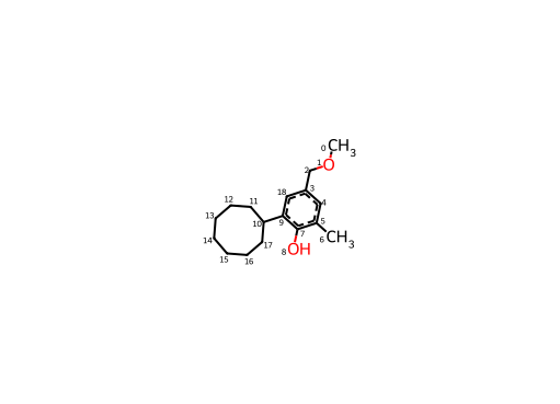 COCc1cc(C)c(O)c(C2CCCCCCC2)c1